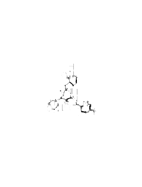 C[C@H](Nc1nc(Cc2ccc[nH]c2=O)nc(N2CCOCC2)c1F)c1ccc(F)cn1